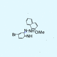 COc1ccc2ccccc2c1N/N=C1/C=C(Br)C=CC1=N